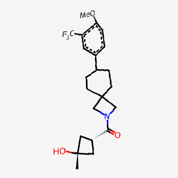 COc1ccc(C2CCC3(CC2)CN(C(=O)[C@H]2C[C@@](C)(O)C2)C3)cc1C(F)(F)F